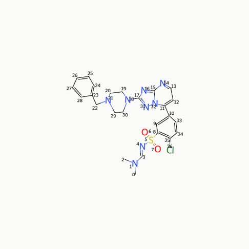 CN(C)C=NS(=O)(=O)c1cc(-c2ccnc3nc(N4CCN(Cc5ccccc5)CC4)nn23)ccc1Cl